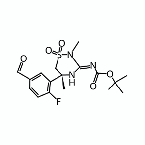 CN1/C(=N/C(=O)OC(C)(C)C)N[C@](C)(c2cc(C=O)ccc2F)CS1(=O)=O